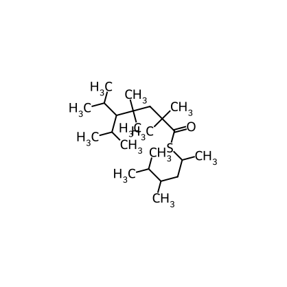 CC(CC(C)C(C)C)SC(=O)C(C)(C)CC(C)(C)C(C(C)C)C(C)C